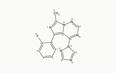 Cc1nc(-c2ccccc2F)c2c(-n3cncn3)ncnn12